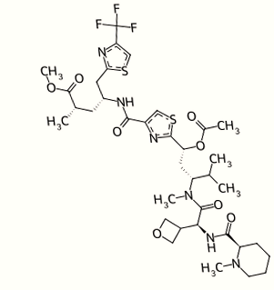 COC(=O)[C@@H](C)C[C@H](Cc1nc(C(F)(F)F)cs1)NC(=O)c1csc([C@@H](C[C@H](C(C)C)N(C)C(=O)[C@@H](NC(=O)[C@H]2CCCCN2C)C2COC2)OC(C)=O)n1